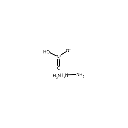 N.NN.O=[N+]([O-])O